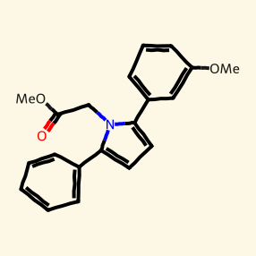 COC(=O)Cn1c(-c2ccccc2)ccc1-c1cccc(OC)c1